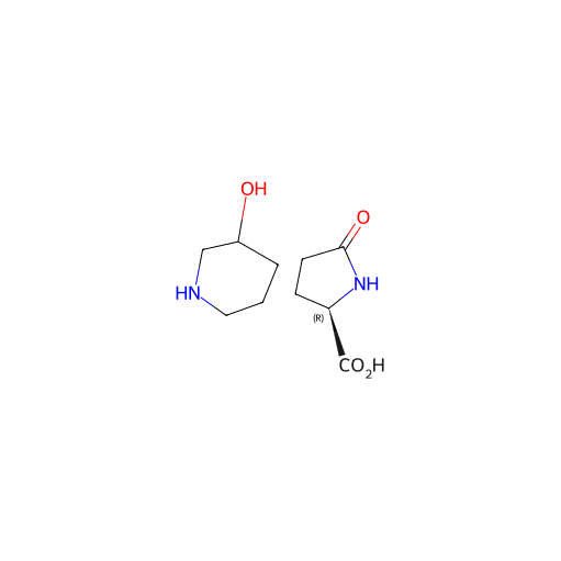 O=C1CC[C@H](C(=O)O)N1.OC1CCCNC1